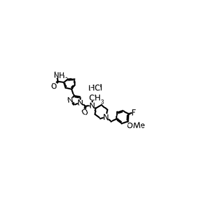 COc1cc(CN2CCC(N(C)C(=O)n3cnc(-c4cccc(C(N)=O)c4)c3)CC2)ccc1F.Cl